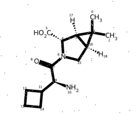 CC1(C)[C@@H]2[C@@H](C(=O)O)N(C(=O)[C@@H](N)C3CCC3)C[C@@H]21